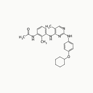 CC(=O)Nc1cccc(Nc2nc(Nc3ccc(OC4CCCCC4)cc3)ncc2C)c1C